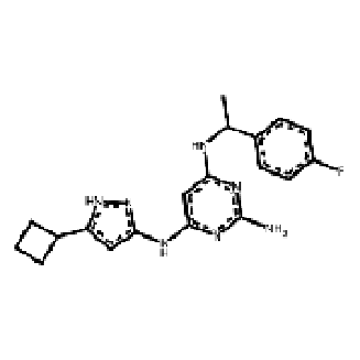 CC(Nc1cc(Nc2cc(C3CCC3)[nH]n2)nc(N)n1)c1ccc(F)cc1